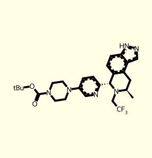 C[C@@H]1Cc2c(ccc3[nH]ncc23)[C@@H](c2ccc(N3CCN(C(=O)OC(C)(C)C)CC3)cn2)N1CC(F)(F)F